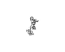 C=Cc1nn(C2CCCCO2)c2c(C)nc(-c3cnn(C)c3O[C@@H](C)CNC(=O)OC(C)(C)C)cc12